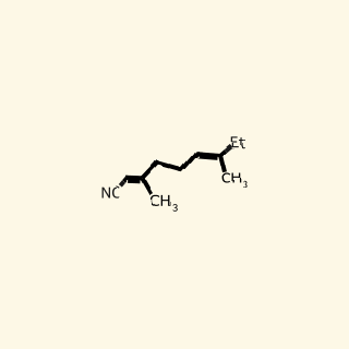 CC/C(C)=C/CC/C(C)=C/C#N